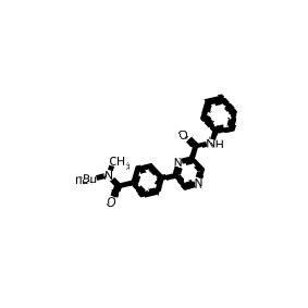 CCCCN(C)C(=O)c1ccc(-c2cncc(C(=O)Nc3ccccc3)n2)cc1